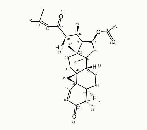 CC(=O)O[C@H]1C[C@@]2(C)[C@@H]3CC[C@H]4[C@H](C)C(=O)C=C[C@@]45C[C@@]35CC[C@]2(C)[C@H]1[C@H](C)[C@@H](O)C(=O)C=C(C)C